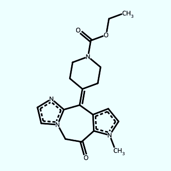 CCOC(=O)N1CCC(=C2c3ccn(C)c3C(=O)Cn3ccnc32)CC1